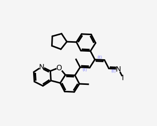 C\C(=C/C(=C\C=N\I)c1cccc(C2CCCC2)c1)c1c(C)ccc2c1oc1ncccc12